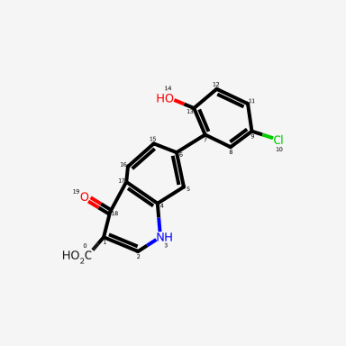 O=C(O)c1c[nH]c2cc(-c3cc(Cl)ccc3O)ccc2c1=O